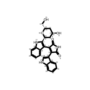 O=C1NC(=O)C(c2c([C@@H]3C[C@H](O)C[C@@H](CO)O3)[nH]c3ccccc23)=C1c1c[nH]c2ccccc12